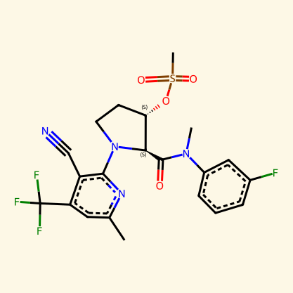 Cc1cc(C(F)(F)F)c(C#N)c(N2CC[C@H](OS(C)(=O)=O)[C@H]2C(=O)N(C)c2cccc(F)c2)n1